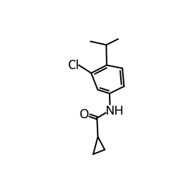 CC(C)c1ccc(NC(=O)C2CC2)cc1Cl